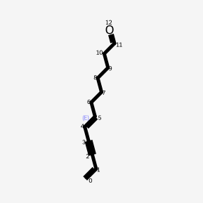 C=CC#C/C=C/CCCCCC=O